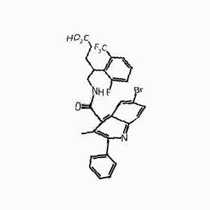 Cc1c(-c2ccccc2)nc2ccc(Br)cc2c1C(=O)NCC(CCC(=O)O)c1c(F)cccc1C(F)(F)F